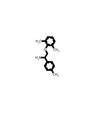 Cc1ccc(C(N)COc2c(C)cccc2C)cc1